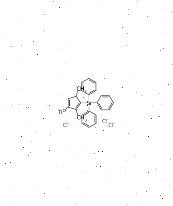 CC1=C([Si](c2ccccc2)(c2ccccc2)c2ccccc2)C(C)C=[C]1[Ti+3].[Cl-].[Cl-].[Cl-]